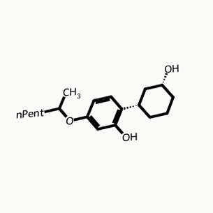 CCCCCC(C)Oc1ccc([C@H]2CCC[C@@H](O)C2)c(O)c1